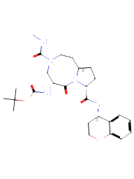 CNC(=O)N1CC[C@H]2CC[C@@H](C(=O)N[C@@H]3CCOc4ccccc43)N2C(=O)[C@@H](NC(=O)OC(C)(C)C)C1